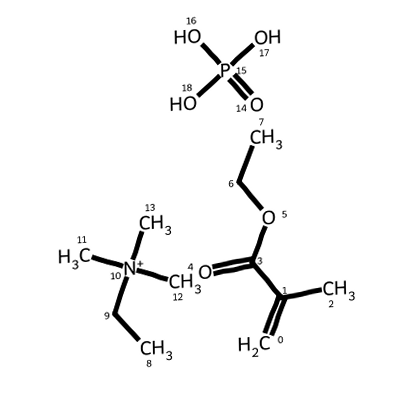 C=C(C)C(=O)OCC.CC[N+](C)(C)C.O=P(O)(O)O